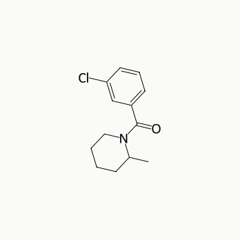 CC1CCCCN1C(=O)c1cccc(Cl)c1